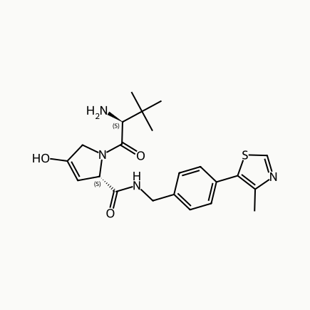 Cc1ncsc1-c1ccc(CNC(=O)[C@@H]2C=C(O)CN2C(=O)[C@@H](N)C(C)(C)C)cc1